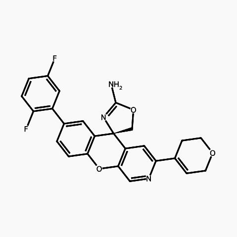 NC1=N[C@@]2(CO1)c1cc(-c3cc(F)ccc3F)ccc1Oc1cnc(C3=CCOCC3)cc12